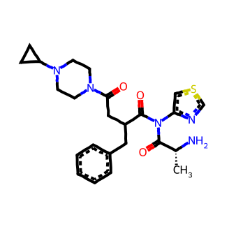 C[C@@H](N)C(=O)N(C(=O)C(CC(=O)N1CCN(C2CC2)CC1)Cc1ccccc1)c1cscn1